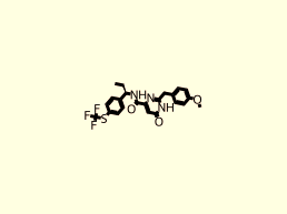 CC[C@@H](NC(=O)c1cc(=O)[nH]c(Cc2ccc(OC)cc2)n1)c1ccc(SC(F)(F)F)cc1